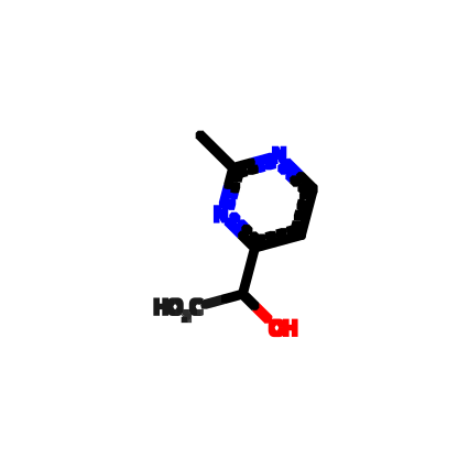 Cc1nccc(C(O)C(=O)O)n1